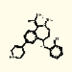 C/C(N)=C1\c2ccc(C3=CCNCC3)cc2C(Nc2ccccc2C#N)CCN1N